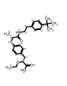 CCO[C@@H](Cc1ccc(O[C@H](C)C(=O)NCCc2ccc(C(C)(C)C)cc2)cc1)C(=O)O